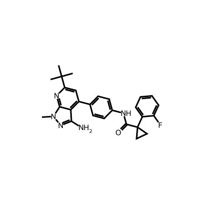 Cn1nc(N)c2c(-c3ccc(NC(=O)C4(c5ccccc5F)CC4)cc3)cc(C(C)(C)C)nc21